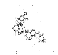 Cc1cc(S(=O)(=O)N2CCNC(=O)[C@H]2CC(=O)N[C@@H]2CCOc3cc(CN4CCN(C)CC4)ccc32)c(C)cc1Cl